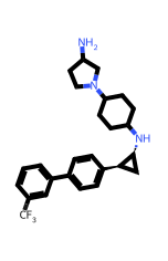 NC1CCN(C2CCC(N[C@@H]3C[C@H]3c3ccc(-c4cccc(C(F)(F)F)c4)cc3)CC2)C1